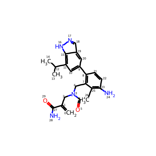 C=C(CN(C=O)Cc1c(-c2cc(C(C)C)c3[nH]ncc3c2)ccc(N)c1C)C(N)=O